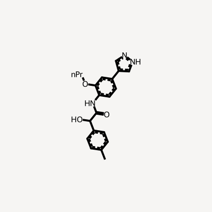 CCCOc1cc(-c2cn[nH]c2)ccc1NC(=O)C(O)c1ccc(C)cc1